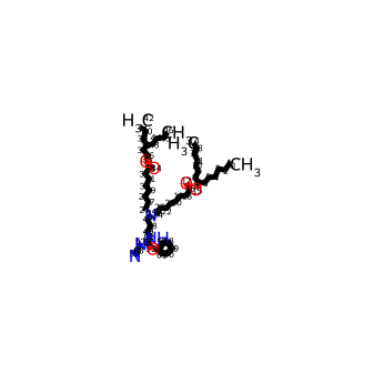 CCCCCCCC(CCCCCCC)OC(=O)CCCCCCCN(CCCCCCCC(=O)OCCC(CCCC)CCCC)CCCN/C(=N/C#N)Oc1ccccc1